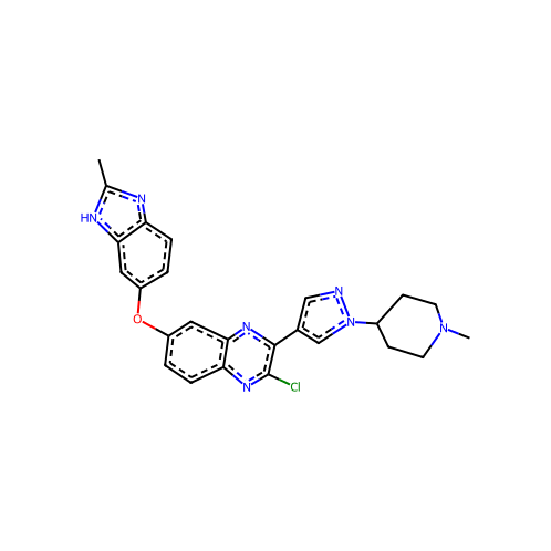 Cc1nc2ccc(Oc3ccc4nc(Cl)c(-c5cnn(C6CCN(C)CC6)c5)nc4c3)cc2[nH]1